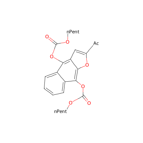 CCCCCOC(=O)Oc1c2ccccc2c(OC(=O)OCCCCC)c2oc(C(C)=O)cc12